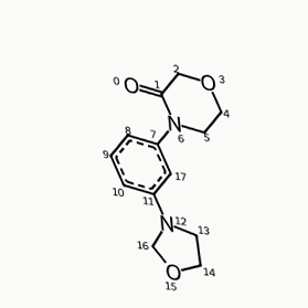 O=C1COCCN1c1cccc(N2CCOC2)c1